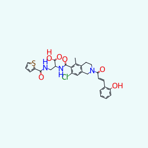 Cc1c2c(cc(Cl)c1C(=O)NC(CNC(=O)c1cccs1)C(=O)O)CN(C(=O)/C=C/c1ccccc1O)CC2